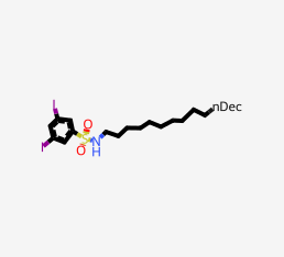 CCCCCCCCCCCCCCCCCCCCNS(=O)(=O)c1cc(I)cc(I)c1